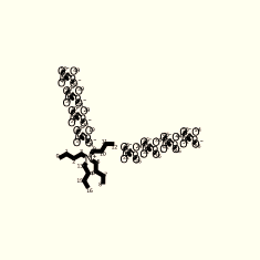 CCCC[N+](CCCC)(CCCC)CCCC.[O]=[Mo](=[O])([O-])[O-].[O]=[Mo](=[O])([O-])[O-].[O]=[Mo](=[O])([O-])[O-].[O]=[Mo](=[O])([O-])[O-].[O]=[Mo](=[O])([O-])[O-].[O]=[Mo](=[O])([O-])[O-].[O]=[Mo](=[O])([O-])[O-].[O]=[Mo](=[O])([O-])[O-]